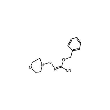 N#CC(=NSN1CCOCC1)OCc1ccccc1